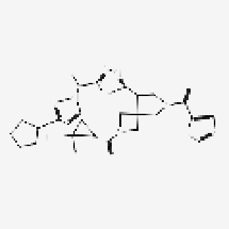 CC(c1nnc(C2CN(C(=O)c3cncs3)CC23CN(C(=O)[C@H]2CC2(C)C)C3)o1)n1ccc(C2CCCC2)n1